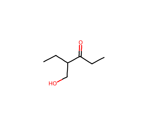 CCC(=O)C(CC)CO